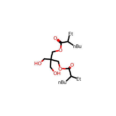 CCCCC(CC)C(=O)OCC(CO)(CO)COC(=O)C(CC)CCCC